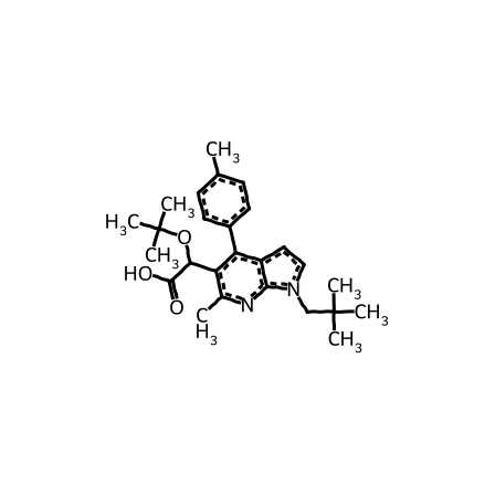 Cc1ccc(-c2c(C(OC(C)(C)C)C(=O)O)c(C)nc3c2ccn3CC(C)(C)C)cc1